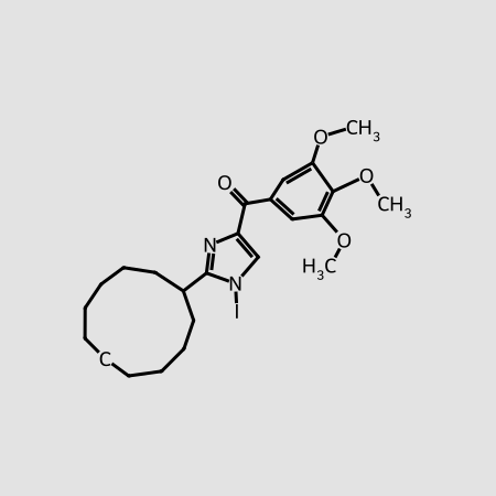 COc1cc(C(=O)c2cn(I)c(C3CCCCCCCCCC3)n2)cc(OC)c1OC